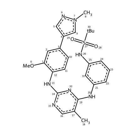 COc1cc(-c2cnn(C)c2)ccc1Nc1ncc(C)c(Nc2cccc(NS(=O)(=O)C(C)(C)C)c2)n1